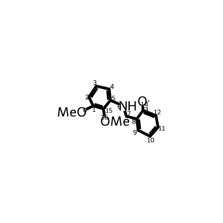 COc1cccc(NCc2ccccc2[O])c1OC